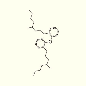 CCCCC(C)CCCc1ccccc1Oc1ccccc1CCCC(C)CCCC